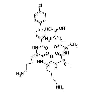 C[C@H](NC(=O)[C@H](C)NC(=O)[C@H](C)NC(=O)[C@H](CCCCN)NC(=O)[C@H](CCCCN)NC(=O)c1ccc(-c2ccc(Cl)cc2)cc1)B(O)O